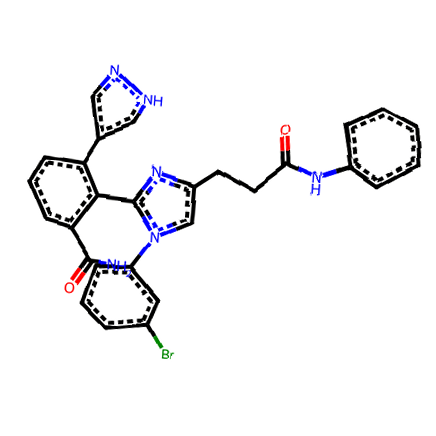 NC(=O)c1cccc(-c2cn[nH]c2)c1-c1nc(CCC(=O)Nc2ccccc2)cn1-c1cccc(Br)c1